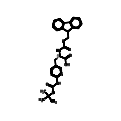 CC(C)(C)OC(=O)Nc1ccc(C[C@H](NC(=O)OCC2c3ccccc3-c3ccccc32)C(=O)O)cn1